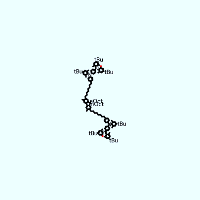 CCCCCCCCC1(CCCCCCCC)c2cc(CCCCCCCCc3ccc(N(c4ccc(N(c5c(C)cc(C(C)(C)C)cc5C)c5c(C)cc(C(C)(C)C)cc5C)cc4)c4c(C)cc(C(C)(C)C)cc4C)cc3)c(C)cc2-c2cc(C)c(CCCCCCCCc3ccc(N(c4ccc(N(c5c(C)cc(C(C)(C)C)cc5C)c5c(C)cc(C(C)(C)C)cc5C)cc4)c4c(C)cc(C(C)(C)C)cc4C)cc3)cc21